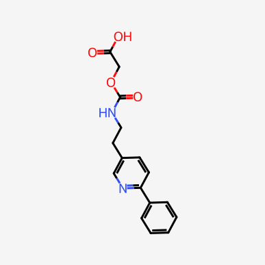 O=C(O)COC(=O)NCCc1ccc(-c2ccccc2)nc1